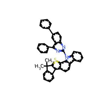 CC1(C)c2ccccc2-c2c1sc1c2ccc2c3ccccc3n(-c3nc(-c4ccccc4)c4cc(-c5ccccc5)ccc4n3)c21